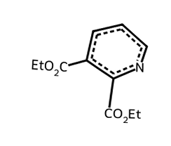 CCOC(=O)c1cccnc1C(=O)OCC